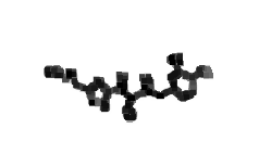 O=C(O)Cc1csc(NC(=O)NCc2ccc(Cl)c(Cl)c2)n1